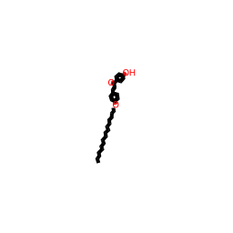 CCCCCCCCCCCCCCCCCCOc1ccc(C=CC(=O)c2ccc(O)cc2)cc1